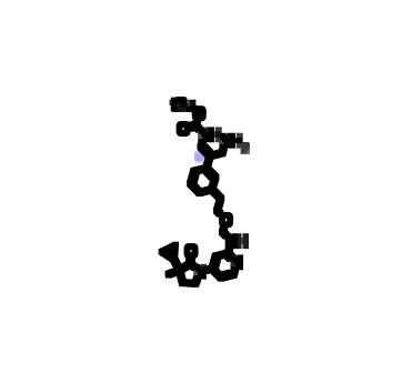 CC(C)(C)OC(=O)N/C=C(\CN)C1=CC(CCOCNc2cc(N3CCC(C)(C4CC4)C3=O)ccn2)CC=C1